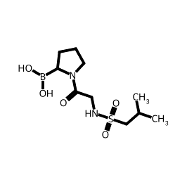 CC(C)CS(=O)(=O)NCC(=O)N1CCCC1B(O)O